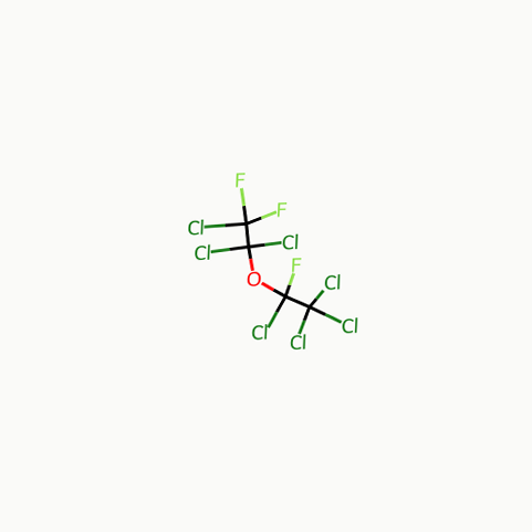 FC(F)(Cl)C(Cl)(Cl)OC(F)(Cl)C(Cl)(Cl)Cl